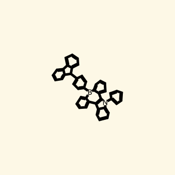 c1ccc(-n2c3c(c4ccccc42)-c2ccccc2B(c2ccc(C4c5ccccc5-c5ccccc54)cc2)c2ccccc2-3)cc1